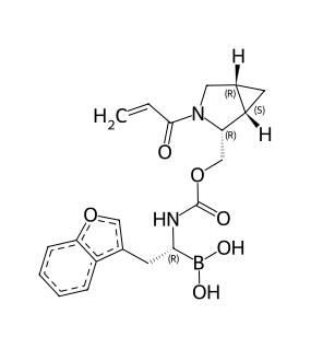 C=CC(=O)N1C[C@@H]2C[C@@H]2[C@@H]1COC(=O)N[C@@H](Cc1coc2ccccc12)B(O)O